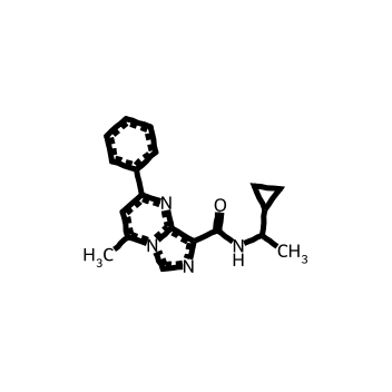 Cc1cc(-c2ccccc2)nc2c(C(=O)NC(C)C3CC3)ncn12